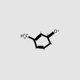 CC1=[C]C(=O)CC=C1